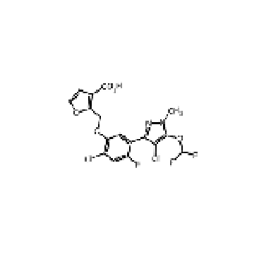 Cn1nc(-c2cc(OCc3occc3C(=O)O)c(Cl)cc2F)c(Cl)c1OC(F)F